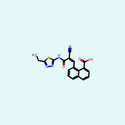 CCc1nnc(NC(=O)C(C#N)=Cc2cccc3cccc(C(=O)O)c23)s1